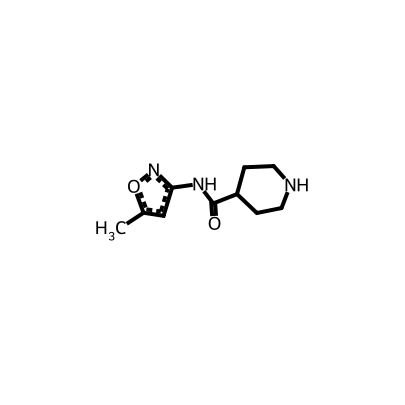 Cc1cc(NC(=O)C2CCNCC2)no1